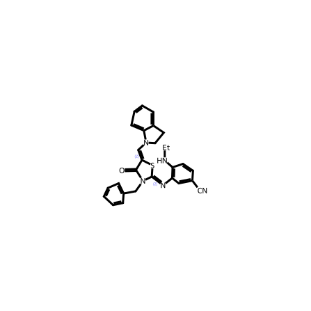 CCNc1ccc(C#N)cc1/N=C1\S/C(=C\N2CCc3ccccc32)C(=O)N1Cc1ccccc1